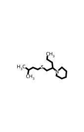 CCCC(CSCCC(C)C)N1CCCCC1